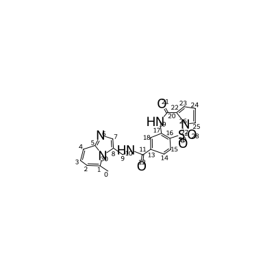 Cc1cccc2ncc(CNC(=O)c3ccc4c(c3)NC(=O)c3cccn3S4(=O)=O)n12